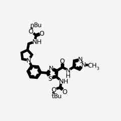 CCCCOC(=O)NCC1CCN(c2cccc(-c3nc(C(=O)Nc4cnn(C)c4)c(NC(=O)OC(C)(C)C)s3)c2)C1